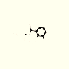 CCCCCCCCOC(=O)c1cccc(C(=O)O)c1C(=O)O